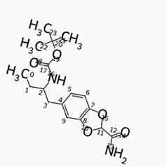 CCC(Cc1ccc2c(c1)OC(C(N)=O)O2)NC(=O)OC(C)(C)C